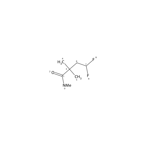 [CH2]NC(=O)C(C)(C)CC(F)F